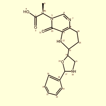 C[C@H](C(=O)O)n1cnc2c(c1=O)NC(C1CNC(c3ccccc3)O1)CC2